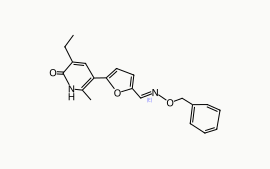 CCc1cc(-c2ccc(/C=N/OCc3ccccc3)o2)c(C)[nH]c1=O